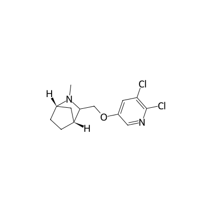 CN1C(COc2cnc(Cl)c(Cl)c2)[C@@H]2CC[C@H]1C2